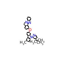 Cc1ccc2c(c1)c1ccc(Oc3ccc4c(c3)-c3nc5ccccc5n3CC4)cc1n2-c1cc(C(C)(C)C)ccn1